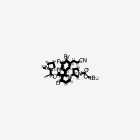 C[C@H](Oc1nc2c(F)c(Br)c(CCC#N)cc2c2c1c(=O)ccn2C1CCN(C(=O)OC(C)(C)C)C1)[C@@H]1CCCN1C